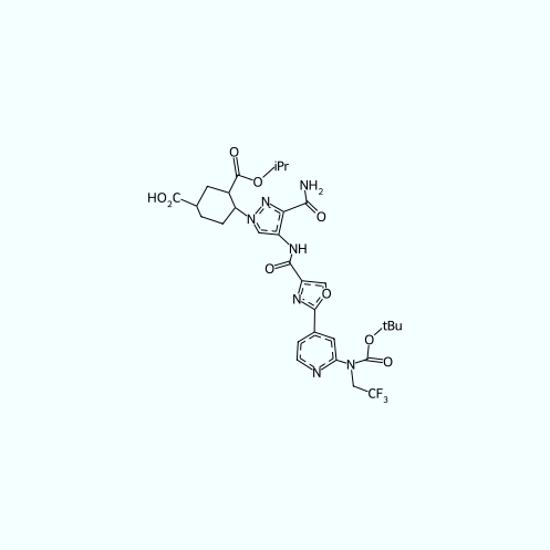 CC(C)OC(=O)C1CC(C(=O)O)CCC1n1cc(NC(=O)c2coc(-c3ccnc(N(CC(F)(F)F)C(=O)OC(C)(C)C)c3)n2)c(C(N)=O)n1